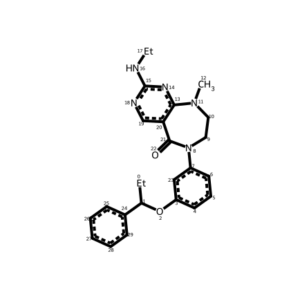 [CH2]CC(Oc1cccc(N2CCN(C)c3nc(NCC)ncc3C2=O)c1)c1ccccc1